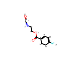 O=C=NCCOC(=O)C1=CC=C(F)CC1